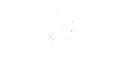 COc1c(C(=O)NC2(C(N)=O)CCOCC2)nn(-c2ccccc2Cl)c1-c1ccc(Cl)cc1